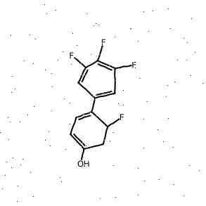 OC1=CC=C(c2cc(F)c(F)c(F)c2)C(F)C1